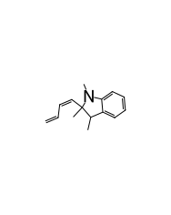 C=C/C=C\C1(C)C(C)c2ccccc2N1C